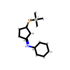 C[Si](C)(C)SC1CCC(=NC2CCCCC2)C1